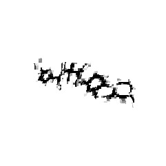 Cc1cc(NC(=O)C(C)(C)NC(=O)c2ccc(Br)s2)ccc1N1CCCN(C)CC1=O